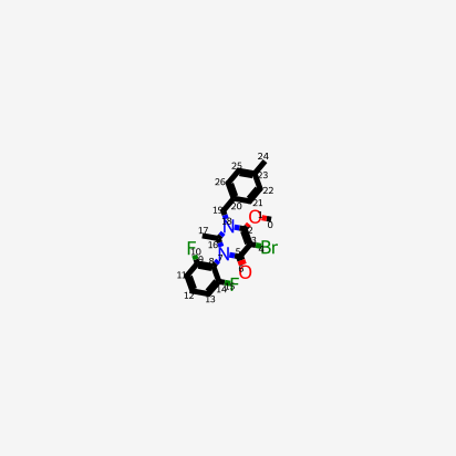 COC1=C(Br)C(=O)N(c2c(F)cccc2F)C(C)N1Cc1ccc(C)cc1